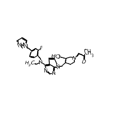 CCN(Cc1ccc(-n2cccn2)cc1F)c1ncnc2c1ccn2CC1CCN(CC(C)=O)CC1O